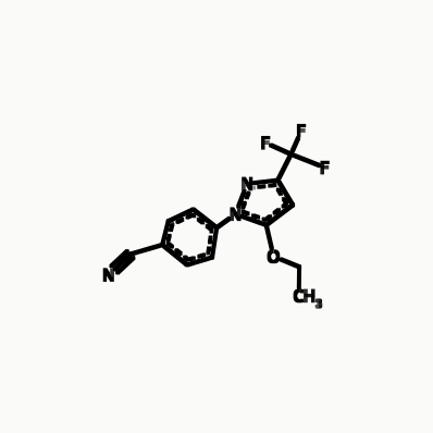 CCOc1cc(C(F)(F)F)nn1-c1ccc(C#N)cc1